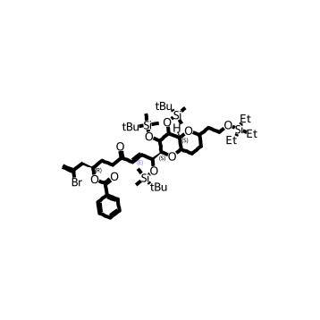 C=C(Br)C[C@@H](CCC(=O)/C=C/C(O[Si](C)(C)C(C)(C)C)[C@@H]1OC2CCC(CCO[Si](CC)(CC)CC)O[C@@H]2C(O[Si](C)(C)C(C)(C)C)C1O[Si](C)(C)C(C)(C)C)OC(=O)c1ccccc1